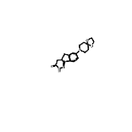 O=C1CC2Cc3cc(N4CCC5(CC4)OCCO5)ccc3C2=NN1